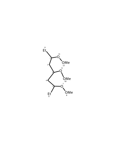 CCC(CC(CC(CC)OOC)OOC)OOC